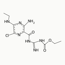 CCNc1nc(N)c(C(=O)NC(=N)NC(=O)OCC)nc1Cl